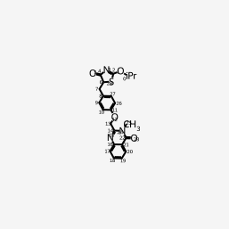 CC(C)OC1=NC(=O)C(Cc2ccc(OCc3nc4ccccc4c(=O)n3C)cc2)S1